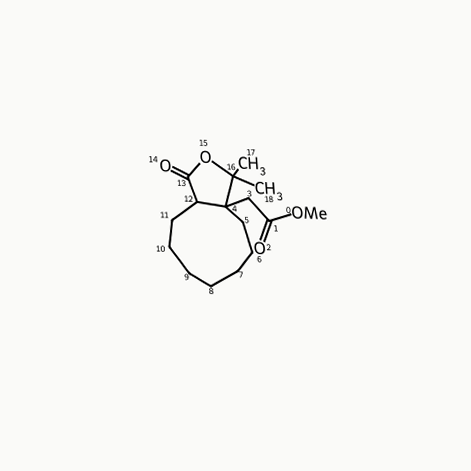 COC(=O)CC12CCCCCCCC1C(=O)OC2(C)C